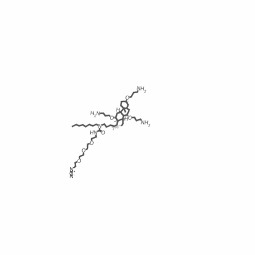 CCCCCCCCN(CCC[C@@H](C)[C@H]1CC[C@H]2C3[C@H](OCCCN)CC4C[C@H](OCCCN)CCC4(C)[C@H]3C[C@H](OCCCN)[C@]12C)C(=O)NCCOCCOCCOCCN=[N+]=[N-]